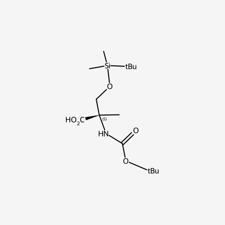 CC(C)(C)OC(=O)N[C@@](C)(CO[Si](C)(C)C(C)(C)C)C(=O)O